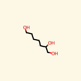 OCCCC[CH]C(O)CO